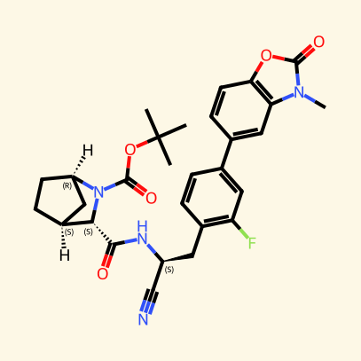 Cn1c(=O)oc2ccc(-c3ccc(C[C@@H](C#N)NC(=O)[C@@H]4[C@H]5CC[C@H](C5)N4C(=O)OC(C)(C)C)c(F)c3)cc21